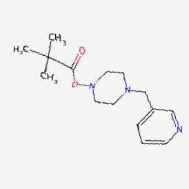 CC(C)(C)C(=O)ON1CCN(Cc2cccnc2)CC1